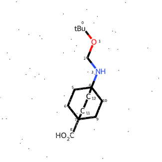 CC(C)(C)OCNC12CCC(C(=O)O)(CC1)CC2